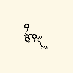 COCCCNC(=O)c1ccc(Cn2c(SCc3ccccc3)nc3ccncc32)cc1